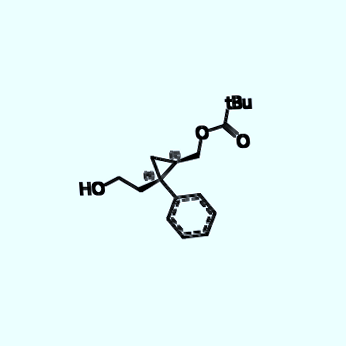 CC(C)(C)C(=O)OC[C@@H]1C[C@@]1(CCO)c1ccccc1